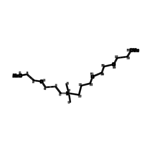 COCCOCCC[Si](C)(C)CCCOCCOCCOC